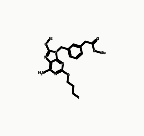 CCOc1nc2c(N)nc(OCCCI)nc2n1Cc1cccc(CC(=O)OC(C)(C)C)c1